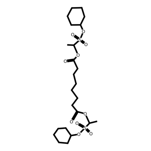 CC(OC(=O)CCCCCCC(=O)OC(C)S(=O)(=O)OC1CCCCC1)S(=O)(=O)OC1CCCCC1